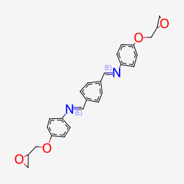 C(=N\c1ccc(OCC2CO2)cc1)/c1ccc(/C=N/c2ccc(OCC3CO3)cc2)cc1